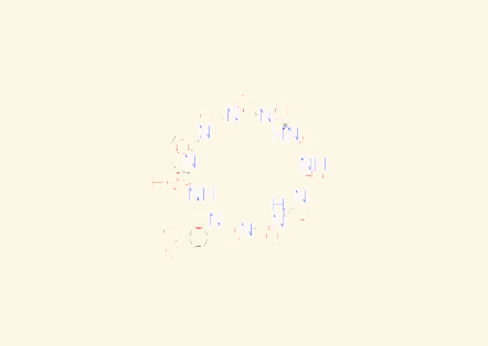 CC=CC[C@@H](C)[C@@H](O)[C@H]1C(=O)N[C@@H](CC)C(=O)N(C)C(Cc2ccc(C(=O)OC)cc2)C(=O)N(C)[C@@H](CC(C)C)C(=O)N[C@@H](C(C)C)C(=O)N(C)[C@@H](CC(C)C)C(=O)N[C@@H](C)C(=O)N[C@H](C)C(=O)N(C)[C@@H](CC(C)C)C(=O)N(C)[C@@H](CC(C)C)C(=O)N(C)[C@@H](C(C)C)C(=O)N1C